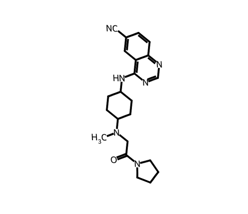 CN(CC(=O)N1CCCC1)C1CCC(Nc2ncnc3ccc(C#N)cc23)CC1